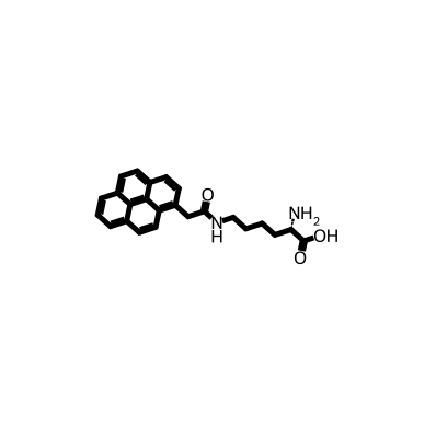 N[C@@H](CCCCNC(=O)Cc1ccc2ccc3cccc4ccc1c2c34)C(=O)O